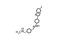 CNCc1ccc(/C=N/Nc2ccc(-c3cn4cc(I)ccc4n3)cc2)cc1